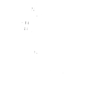 c1ccc(-c2cc(C3CCN(CCc4cccc5ccccc45)CC3)n[nH]2)nc1